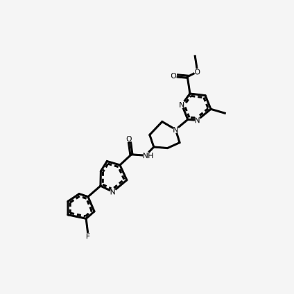 COC(=O)c1cc(C)nc(N2CCC(NC(=O)c3ccc(-c4cccc(F)c4)nc3)CC2)n1